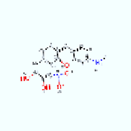 CN(C)c1ccc(C=C2CCc3cc(O)c(O)c([N+](=O)[O-])c3C2=O)cc1